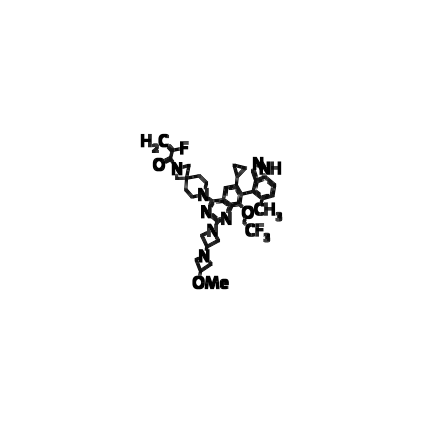 C=C(F)C(=O)N1CC2(CCN(c3nc(N4CC(N5CC(OC)C5)C4)nc4c(OCC(F)(F)F)c(-c5c(C)ccc6[nH]ncc56)c(C5CC5)cc34)CC2)C1